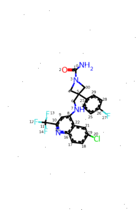 NC(=O)N1CC(CNc2cc(C(F)(F)F)nc3ccc(Cl)cc23)(c2ccc(F)cc2)C1